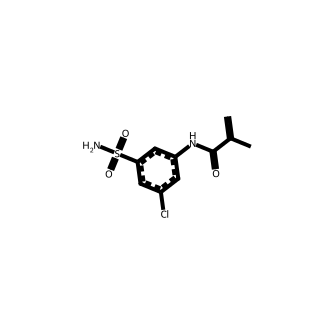 C=C(C)C(=O)Nc1cc(Cl)cc(S(N)(=O)=O)c1